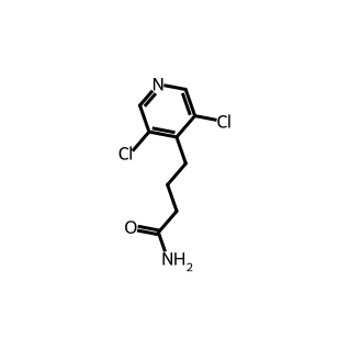 NC(=O)CCCc1c(Cl)cncc1Cl